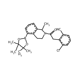 CC1c2cccc(B3OC(C)(C)C(C)(C)O3)c2CCN1C(=O)Cc1c(Cl)cccc1C#N